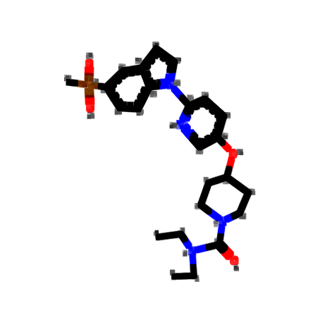 CCN(CC)C(=O)N1CCC(Oc2ccc(-n3ccc4cc(S(C)(=O)=O)ccc43)nc2)CC1